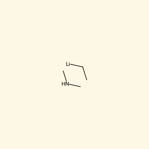 CNC.[Li][CH2]C